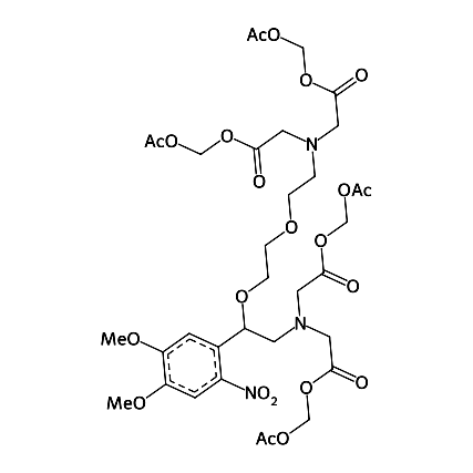 COc1cc(C(CN(CC(=O)OCOC(C)=O)CC(=O)OCOC(C)=O)OCCOCCN(CC(=O)OCOC(C)=O)CC(=O)OCOC(C)=O)c([N+](=O)[O-])cc1OC